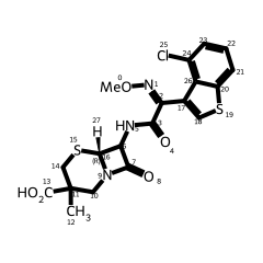 CON=C(C(=O)NC1C(=O)N2CC(C)(C(=O)O)CS[C@H]12)c1csc2cccc(Cl)c12